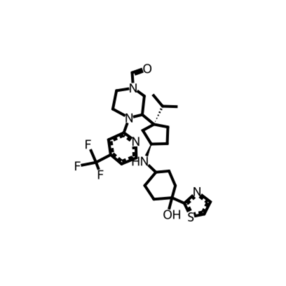 CC(C)[C@]1(C2CN(C=O)CCN2c2cc(C(F)(F)F)ccn2)CC[C@@H](NC2CCC(O)(c3nccs3)CC2)C1